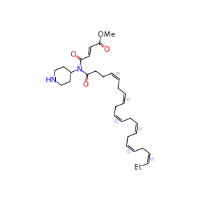 CC/C=C\C/C=C\C/C=C\C/C=C\C/C=C\C/C=C\CCC(=O)N(C(=O)C=CC(=O)OC)C1CCNCC1